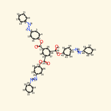 O=C(Oc1ccc(/N=N/c2ccccc2)cc1)c1cc(C(=O)Oc2ccc(/N=N/c3ccccc3)cc2)cc(C(=O)Oc2ccc(/N=N/c3ccccc3)cc2)c1